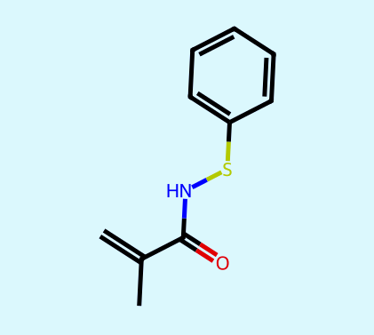 C=C(C)C(=O)NSc1ccccc1